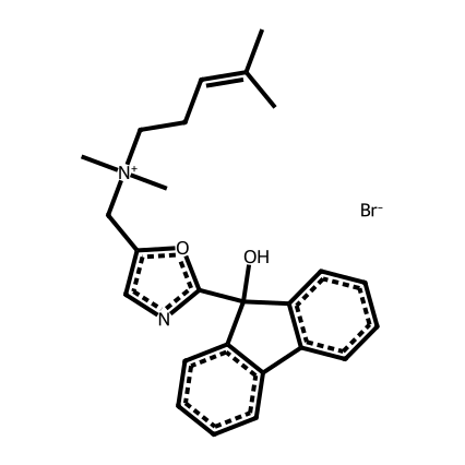 CC(C)=CCC[N+](C)(C)Cc1cnc(C2(O)c3ccccc3-c3ccccc32)o1.[Br-]